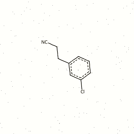 N#CCCc1cc[c]c(Cl)c1